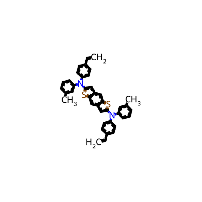 C=Cc1ccc(N(c2cccc(C)c2)c2cc3cc4sc(N(c5ccc(C=C)cc5)c5cccc(C)c5)cc4cc3s2)cc1